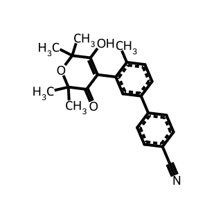 Cc1ccc(-c2ccc(C#N)cc2)cc1C1=C(O)C(C)(C)OC(C)(C)C1=O